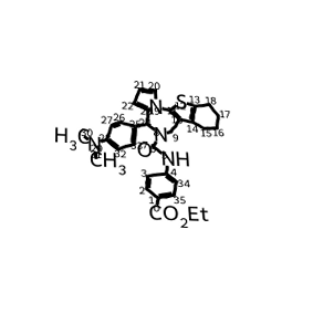 CCOC(=O)c1ccc(NC(=O)N2Cc3c(sc4c3CCCC4)-n3cccc3C2c2ccc(N(C)C)cc2)cc1